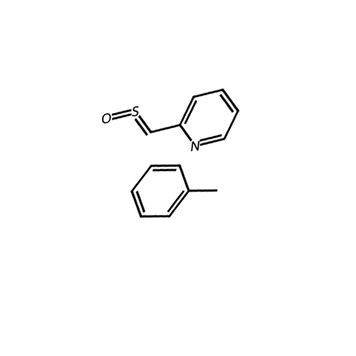 Cc1ccccc1.O=S=Cc1ccccn1